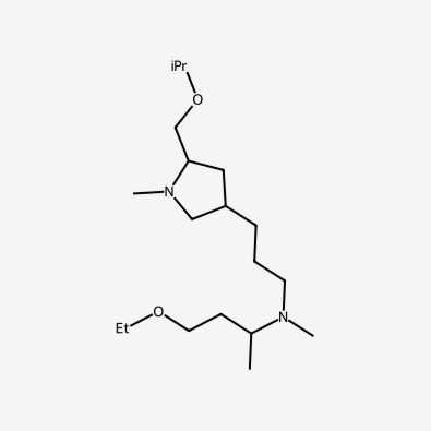 CCOCCC(C)N(C)CCCC1CC(COC(C)C)N(C)C1